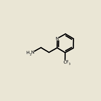 NCCc1ncccc1C(F)(F)F